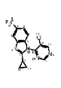 FC(F)(F)c1ccc2c(c1)nc(C1CC1)n2-c1ncncc1Cl